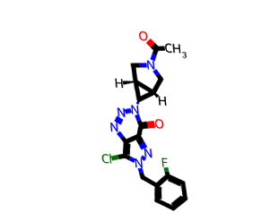 CC(=O)N1C[C@@H]2[C@H](C1)[C@@H]2n1nnc2c(Cl)n(Cc3ccccc3F)nc2c1=O